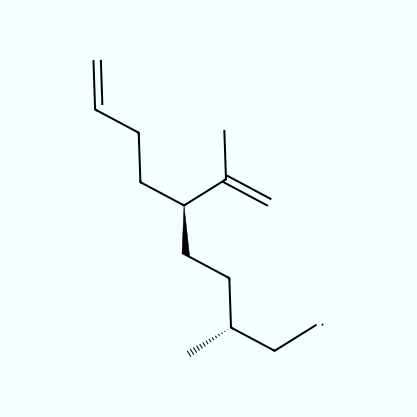 [CH2]C[C@H](C)CC[C@@H](CCC=C)C(=C)C